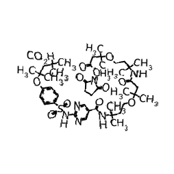 CC(C)(CCOC(C)(C)CC(=O)ON1C(=O)CCC1=O)NC(=O)CC(C)(C)OCCC(C)(C)NC(=O)c1cnc(NS(=O)(=O)c2ccc(OC(C)(C)CC(C)(C)C(=O)O)cc2)nc1